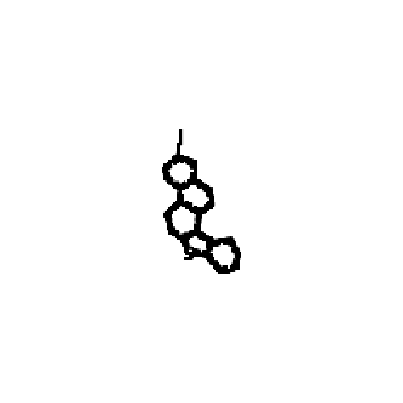 Ic1ccc2c(ccc3c2ccc2sc4ccccc4c23)c1